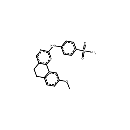 COc1ccc2c(c1)-c1nc(Nc3ccc(S(N)(=O)=O)cc3)ncc1CC2